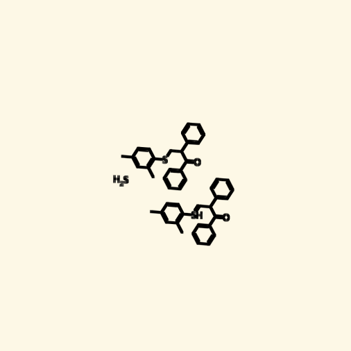 Cc1ccc(SCC(C(=O)c2ccccc2)c2ccccc2)c(C)c1.Cc1ccc([SH]=CC(C(=O)c2ccccc2)c2ccccc2)c(C)c1.S